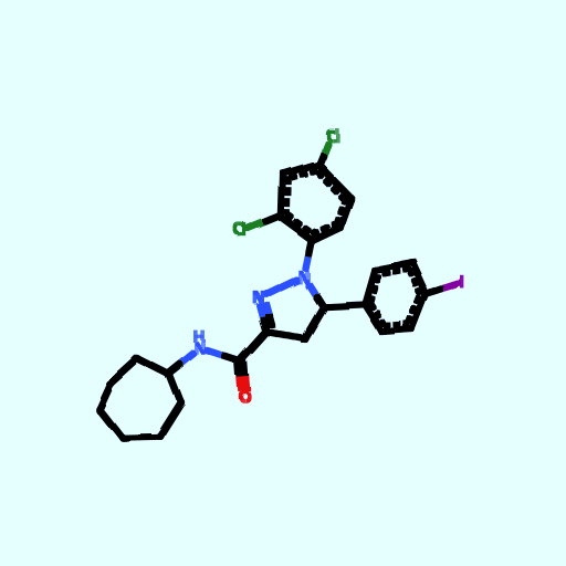 O=C(NC1CCCCCC1)C1=NN(c2ccc(Cl)cc2Cl)C(c2ccc(I)cc2)C1